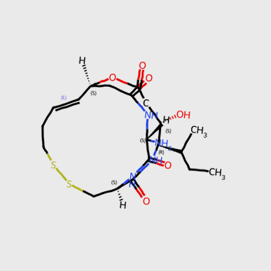 CCC(C)[C@H]1NC(=O)[C@H]2CSSCC/C=C/[C@H](CC(=O)N[C@H](N)C(=O)N2)OC(=O)C[C@@H]1O